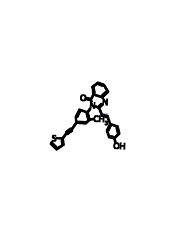 Cc1cc(C#Cc2cccs2)ccc1-n1c(/C=C/c2ccc(O)cc2)nc2ccccc2c1=O